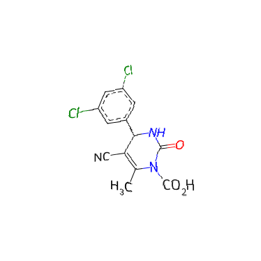 CC1=C(C#N)C(c2cc(Cl)cc(Cl)c2)NC(=O)N1C(=O)O